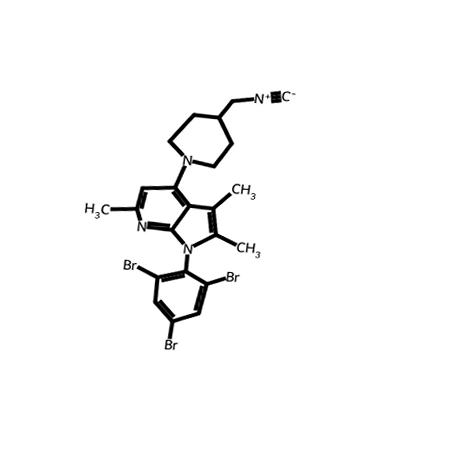 [C-]#[N+]CC1CCN(c2cc(C)nc3c2c(C)c(C)n3-c2c(Br)cc(Br)cc2Br)CC1